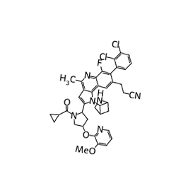 COc1cccnc1OC1CC(c2cc3c(C)nc4c(F)c(-c5cccc(Cl)c5Cl)c(CCC#N)cc4c3n2C2C3CNC2C3)N(C(=O)C2CC2)C1